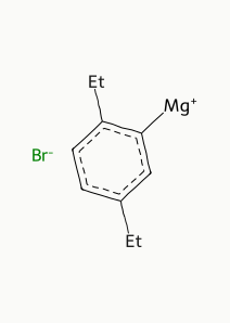 CCc1ccc(CC)[c]([Mg+])c1.[Br-]